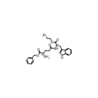 CC(C)CCOC(=O)[C@@H](Cc1c[nH]c2ccccc12)NC(=O)CC[C@@H](N)C(=O)OCc1ccccc1